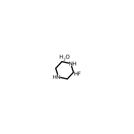 C1CNCCN1.F.O